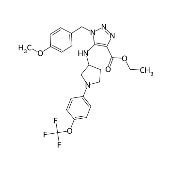 CCOC(=O)c1nnn(Cc2ccc(OC)cc2)c1NC1CCN(c2ccc(OC(F)(F)F)cc2)C1